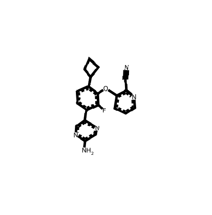 N#Cc1ncccc1Oc1c(C2CCC2)ccc(-c2cnc(N)cn2)c1F